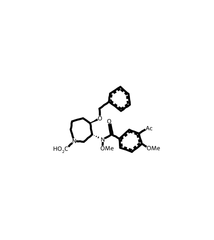 COc1ccc(C(=O)N(OC)[C@@H]2CN(C(=O)O)CCC[C@H]2OCc2ccccc2)cc1C(C)=O